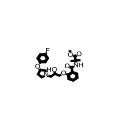 COC(=O)C(C)(C)NC(=O)c1ccccc1OCC(O)CN1CCC(Oc2ccc(F)cc2)C1